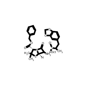 CC1(C)S[C@@H]2C(N)C(=O)N2[C@H]1C(=O)OCc1ccccc1.CCCCCCCC[S+]([O-])C(C)Cc1ccc2c(c1)OCO2